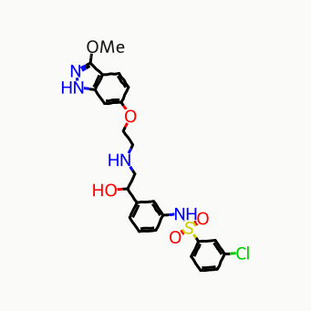 COc1n[nH]c2cc(OCCNCC(O)c3cccc(NS(=O)(=O)c4cccc(Cl)c4)c3)ccc12